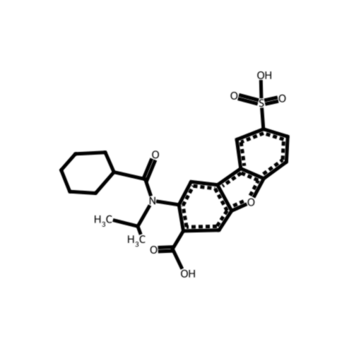 CC(C)N(C(=O)C1CCCCC1)c1cc2c(cc1C(=O)O)oc1ccc(S(=O)(=O)O)cc12